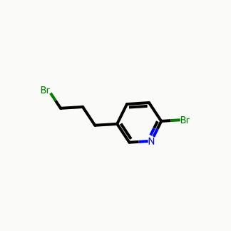 BrCCCc1ccc(Br)nc1